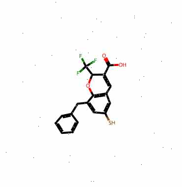 O=C(O)C1=Cc2cc(S)cc(Cc3ccccc3)c2OC1C(F)(F)F